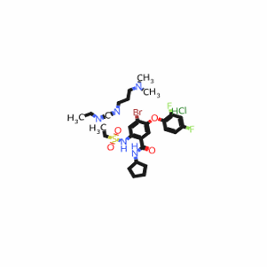 CCN=C=NCCCN(C)C.CCS(=O)(=O)Nc1cc(Br)c(Oc2ccc(F)cc2F)cc1C(=O)NC1CCCC1.Cl